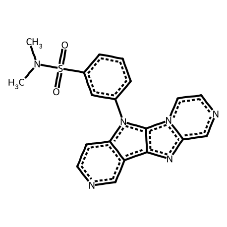 CN(C)S(=O)(=O)c1cccc(-n2c3ccncc3c3nc4cnccn4c32)c1